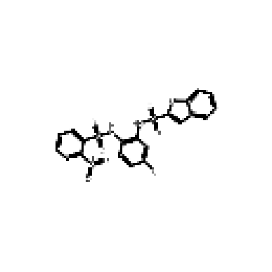 O=[SH](=O)c1ccccc1S(=O)(=O)Nc1ccc(Cl)cc1NS(=O)(=O)c1cc2ccccc2o1